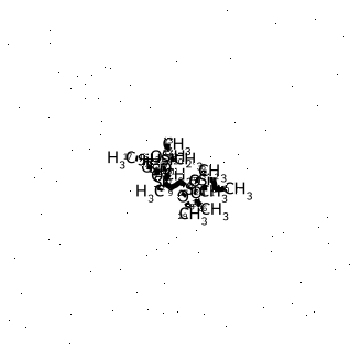 CCC[Si](C)(C)O[Si](CC[Si](C)(C)O[Si](O[SiH2]C)(O[SiH2]C)O[SiH2]C)(OCC)OCC